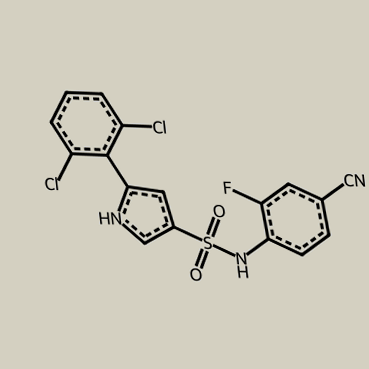 N#Cc1ccc(NS(=O)(=O)c2c[nH]c(-c3c(Cl)cccc3Cl)c2)c(F)c1